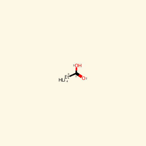 [CH2]CC(=O)O.[LiH]